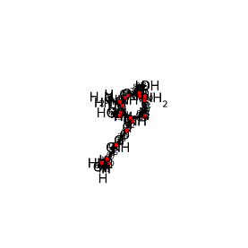 C[C@H]1NC(=O)[C@@H](CCCNC(=N)N)NC(=O)[C@@H](Cc2ccc(O)cc2)NC(=O)[C@@H](NC(=O)COCCOCCOCCNC(=O)CCCC[C@H]2SC[C@H]3NC(=O)N[C@H]32)Cc2cn(nn2)CCCC[C@@H](C(N)=O)NC(=O)[C@@H](Cc2ccc(O)cc2)NC1=O